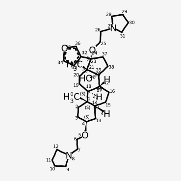 C[C@]12CC[C@H](OCCN3CCCC3)C[C@H]1CC[C@@H]1[C@@H]2CC[C@]2(C)[C@@](OCCN3CCCC3)(c3ccoc3)CC[C@@]12O